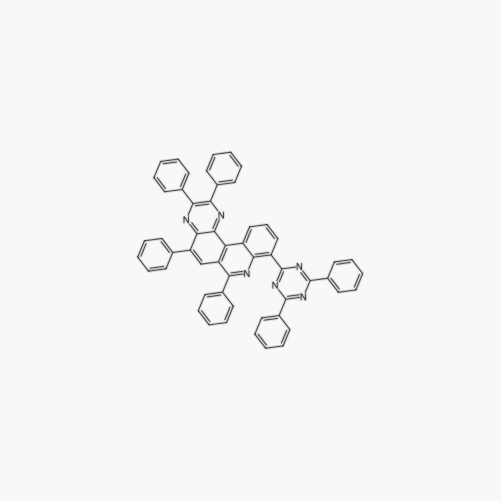 c1ccc(-c2nc(-c3ccccc3)nc(-c3cccc4c3nc(-c3ccccc3)c3cc(-c5ccccc5)c5nc(-c6ccccc6)c(-c6ccccc6)nc5c34)n2)cc1